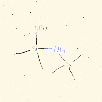 CCCC[Si](C)(C)N[Si](C)(C)C